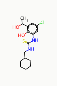 CC(O)c1cc(Cl)cc(NC(=S)NCC2CCCCC2)c1O